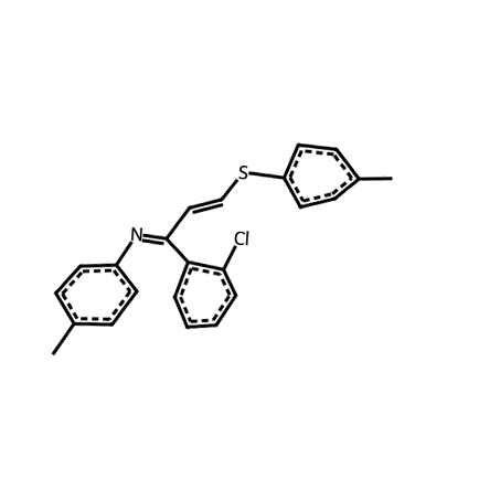 Cc1ccc(N=C(C=CSc2ccc(C)cc2)c2ccccc2Cl)cc1